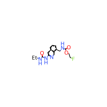 CCNC(=O)Nc1cc2cccc(CNC(=O)OCCF)c2cn1